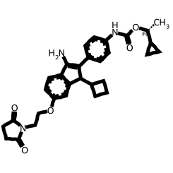 C[C@@H](OC(=O)Nc1ccc(C2=C(N)c3ccc(OCCN4C(=O)CCC4=O)cc3C2C2CCC2)cc1)C1CC1